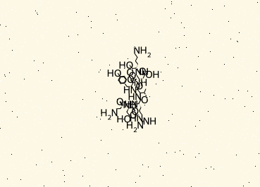 CC(C)[C@H](NC(=O)[C@H](CCCNC(=N)N)NC(=O)[C@@H](CC(=O)O)NC(=O)CCN)C(=O)N[C@@H](Cc1ccc(O)cc1)C(=O)N[C@@H](CC(=O)O)C(=O)N[C@@H](CCCCN)C(=O)O